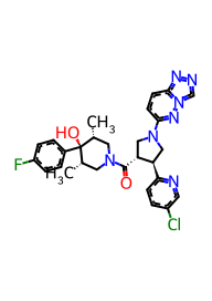 C[C@@H]1CN(C(=O)[C@@H]2CN(c3ccc4nncn4n3)C[C@H]2c2ccc(Cl)cn2)C[C@H](C)[C@]1(O)c1ccc(F)cc1